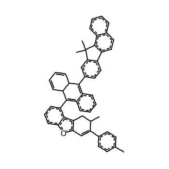 Cc1ccc(C2=Cc3oc4cccc(C5=c6ccccc6=C(c6ccc7c(c6)C(C)(C)c6c-7ccc7ccccc67)C6C=CC=CC56)c4c3CC2C)cc1